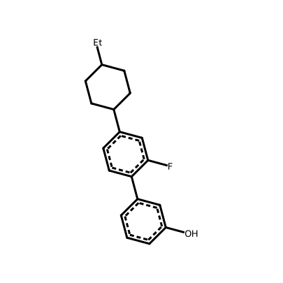 CCC1CCC(c2ccc(-c3cccc(O)c3)c(F)c2)CC1